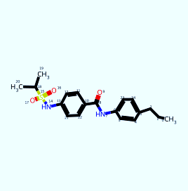 CCCc1ccc(NC(=O)c2ccc(NS(=O)(=O)C(C)C)cc2)cc1